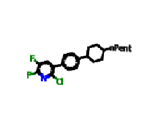 CCCCCC1CCC(c2ccc(-c3cc(F)c(F)nc3Cl)cc2)CC1